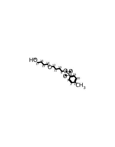 Cc1ccc(S(=O)(=O)OCCCCOCCCCO)cc1